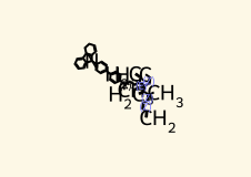 C=C/C=C\C=C(\C)C(=C)C(/C=C\C)=C(/C=C)CC[C@@H](C)c1ccc(-c2ccc(-n3c4c(c5ccccc53)CCC=C4)cc2)cc1